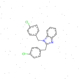 Clc1ccc(Cc2nc3ccccc3n2Cc2ccc(Cl)cc2)cc1